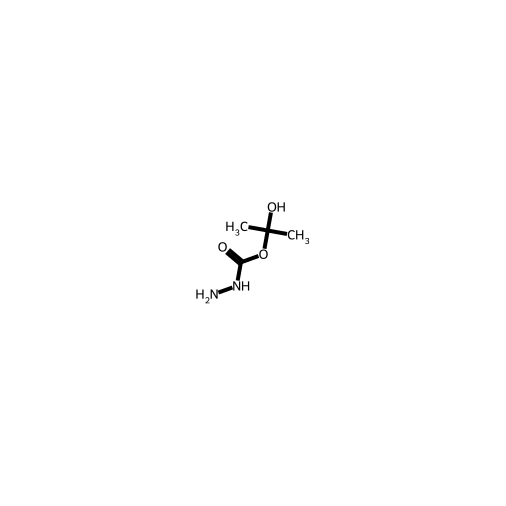 CC(C)(O)OC(=O)NN